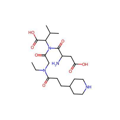 CCN(CC(=O)N(C(=O)C(N)CC(=O)O)C(C(=O)O)C(C)C)C(=O)CCC1CCNCC1